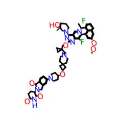 CCc1c(F)ccc2cc(OCOC)cc(-c3ncc4c(N5CCC[C@@](C)(O)C5)nc(OCC5(CN6CCC7(CC6)CC(OC6CCN(c8ccc9c(c8)CN(C8CCC(=O)NC8=O)C9=O)CC6)C7)CC5)nc4c3F)c12